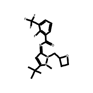 Cn1c(C(C)(C)C)c/c(=N/C(=O)c2cccc(C(F)(F)F)c2F)n1CC1CCO1